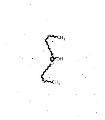 CCCCC/C=C\C/C=C\CCCCCCCCOc1ccc(OCCCCCCCC/C=C\C/C=C\CCCCC)c(CO)c1